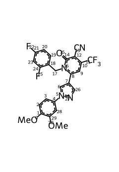 COc1ccc(-n2cc(-c3cc(C(F)(F)F)c(C#N)c(=O)n3Cc3ccc(F)cc3F)cn2)cc1OC